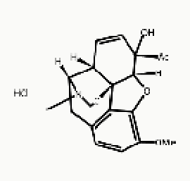 COc1ccc2c3c1O[C@@H]1[C@]34CCN(C)[C@H](C2)[C@@H]4C=C[C@@]1(O)C(C)=O.Cl